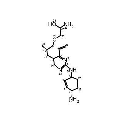 C=CC1=NC(NC2C=C[C@@H](N)CC2)=NCC1C[C@@H](C)COCC(N)O